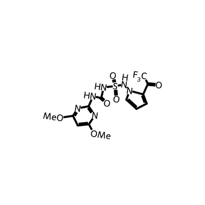 COc1cc(OC)nc(NC(=O)NS(=O)(=O)Nn2cccc2C(=O)C(F)(F)F)n1